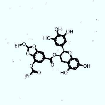 CCOC1Oc2cc(C(=O)O[C@@H]3Cc4c(O)cc(O)cc4O[C@@H]3c3cc(O)c(O)c(O)c3)cc(OC(=O)C(C)C)c2O1